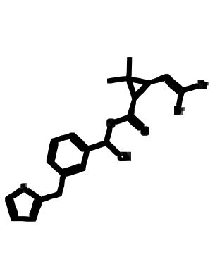 CC1(C)[C@H](C(=O)OC(C#N)c2cccc(Cc3cccs3)c2)[C@@H]1C=C(Br)Br